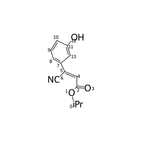 CC(C)OC(=O)C=C(C#N)c1cccc(O)c1